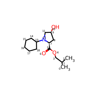 CC(C)COC(=O)[C@@H]1C[C@H](O)CN1C1CCCCC1